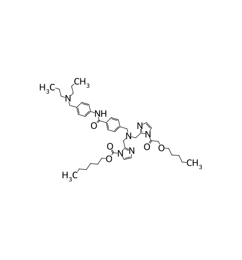 CCCCCCOC(=O)n1ccnc1CN(Cc1ccc(C(=O)Nc2ccc(CN(CCC)CCC)cc2)cc1)Cc1nccn1C(=O)COCCCCC